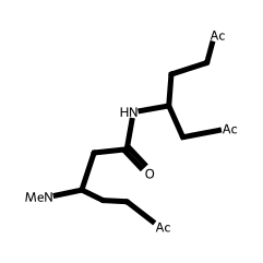 CNC(CCC(C)=O)CC(=O)NC(CCC(C)=O)CC(C)=O